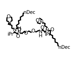 CCCCCCCCCCCCCCCCCC(=O)N(CCCN1CCOCC1)C(C(=O)NCCOCCOCCNC(=O)C(C(C)C)N(CCCN1CCOCC1)C(=O)CCCCCCCCCCCCCCCCC)C(C)C